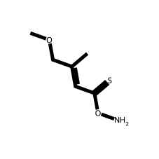 COC/C(C)=C/C(=S)ON